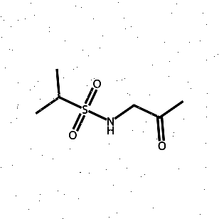 CC(=O)CNS(=O)(=O)C(C)C